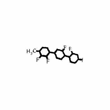 CC1CCC(C2CCC(C3CCC(I)CC3F)C(F)C2)C(F)C1F